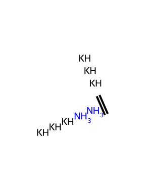 C=C.N.N.[KH].[KH].[KH].[KH].[KH].[KH]